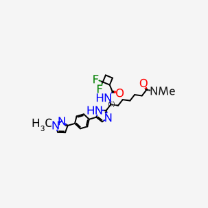 CNC(=O)CCCCC[C@H](NC(=O)C1CCC1(F)F)c1ncc(-c2ccc(-c3ccn(C)n3)cc2)[nH]1